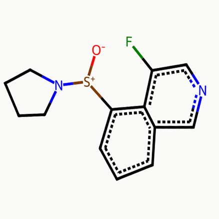 [O-][S+](c1cccc2cncc(F)c12)N1CCCC1